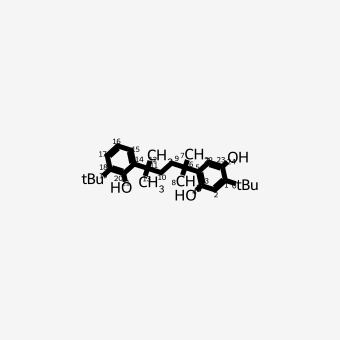 CC(C)(C)c1cc(O)c(C(C)(C)CCC(C)(C)c2cccc(C(C)(C)C)c2O)cc1O